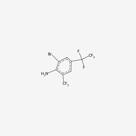 Nc1c(Br)cc(C(F)(F)C(F)(F)F)cc1C(F)(F)F